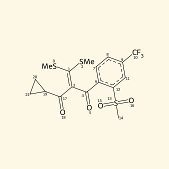 CSC(SC)=C(C(=O)c1ccc(C(F)(F)F)cc1S(C)(=O)=O)C(=O)C1CC1